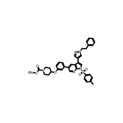 Cc1ccc(S(=O)(=O)n2cc(-c3cnn(CCc4ccccc4)c3)c3cc(-c4cccc(OC5CCN(C(=O)OC(C)(C)C)CC5)c4)cnc32)cc1